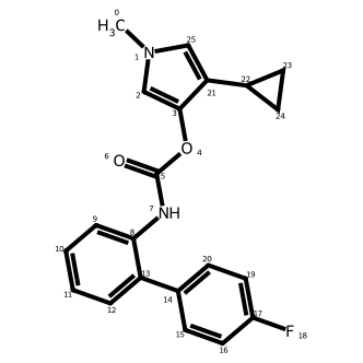 Cn1cc(OC(=O)Nc2ccccc2-c2ccc(F)cc2)c(C2CC2)c1